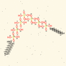 O=S(=O)(O)O.O=S(=O)(O)O.O=S(=O)(O)O.O=S(=O)(O)O.O=S(=O)(O)O.O=S(=O)(O)O.O=S(=O)(O)O.[NaH].[NaH].[NaH].[NaH].[NaH].[NaH].[NaH].[NaH].[NaH].[NaH].[NaH].[NaH].[NaH]